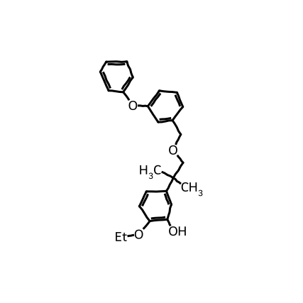 CCOc1ccc(C(C)(C)COCc2cccc(Oc3ccccc3)c2)cc1O